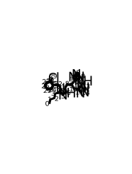 CCCCc1ncc(/C=C(\Cc2nnn[nH]2)c2nnn[nH]2)n1Cc1ccccc1Cl